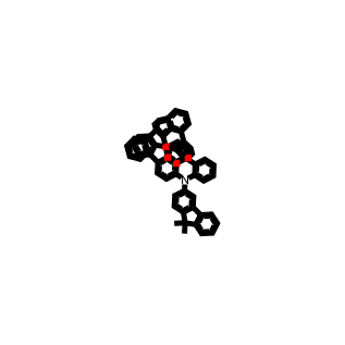 CC1(C)c2ccccc2-c2cc(N(c3ccc4c(c3)C3(c5ccccc5-4)c4ccccc4-c4cccc5ccc(-c6ccccc6)c3c45)c3ccccc3-c3ccccc3)ccc21